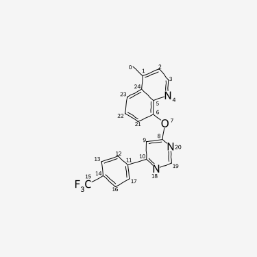 Cc1ccnc2c(Oc3cc(-c4ccc(C(F)(F)F)cc4)ncn3)cccc12